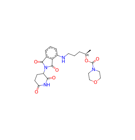 C[C@H](CCCNc1cccc2c1C(=O)N(C1CCC(=O)NC1=O)C2=O)OC(=O)N1CCOCC1